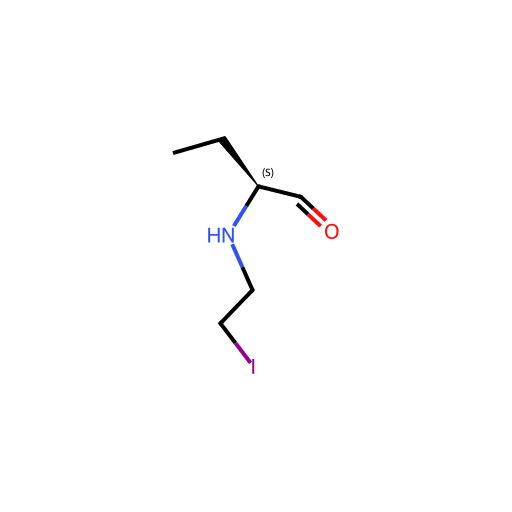 CC[C@@H](C=O)NCCI